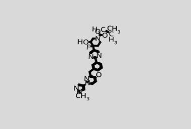 Cn1cc(-n2ccc(=O)c(Cc3cccc(-c4ncc(C5(F)CCN(C(=O)OC(C)(C)C)CC5O)cn4)c3)n2)cn1